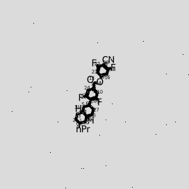 CCC[C@H]1CC[C@@H]2CC(c3c(F)cc(C(=O)Oc4cc(F)c(C#N)c(F)c4)cc3F)CC[C@H]2C1